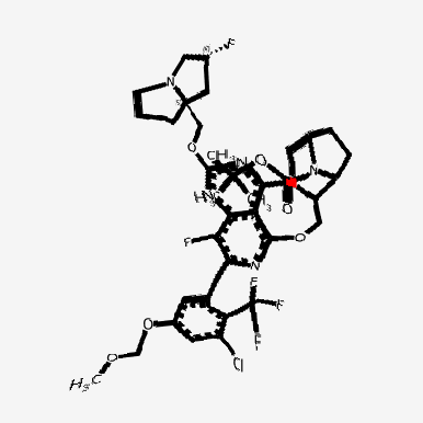 COCOc1cc(Cl)c(C(F)(F)F)c(-c2nc3c4c(nc(OC[C@@]56CCCN5C[C@H](F)C6)nc4c2F)N2CC4CCC(C2CO3)N4C(=O)OC(C)(C)C)c1